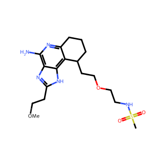 COCCc1nc2c(N)nc3c(c2[nH]1)C(CCOCCNS(C)(=O)=O)CCC3